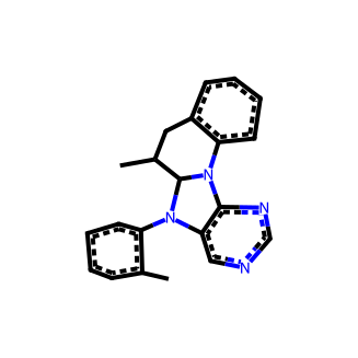 Cc1ccccc1N1c2cncnc2N2c3ccccc3CC(C)C12